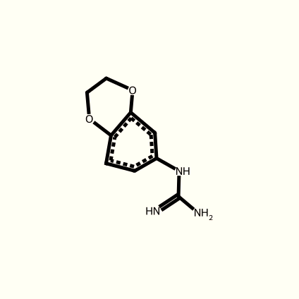 N=C(N)Nc1ccc2c(c1)OCCO2